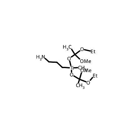 CCOC(C)(OC)[O][Ti]([CH3])([CH2]CCN)[O]C(C)(OC)OCC